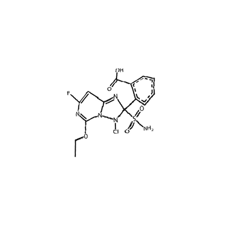 CCOC1=NC(F)=CC2=NC(c3ccccc3C(=O)O)(S(N)(=O)=O)N(Cl)N21